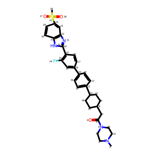 CN1CCN(C(=O)CC2CCC(c3ccc(-c4ccc(-c5nc6cc(S(C)(=O)=O)ccc6[nH]5)c(F)c4)cc3)CC2)CC1